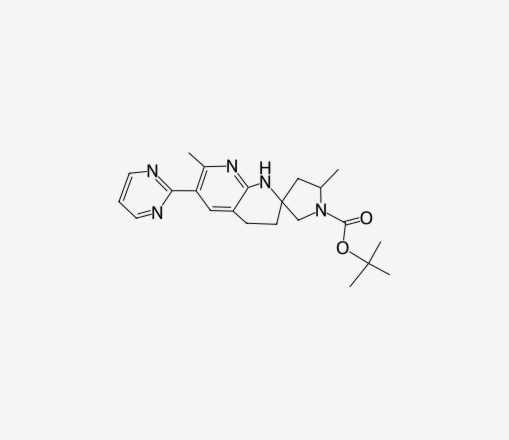 Cc1nc2c(cc1-c1ncccn1)CCC1(CC(C)N(C(=O)OC(C)(C)C)C1)N2